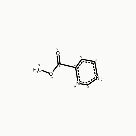 O=C(OC(F)(F)F)c1ccncn1